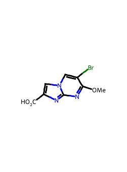 COc1nc2nc(C(=O)O)cn2cc1Br